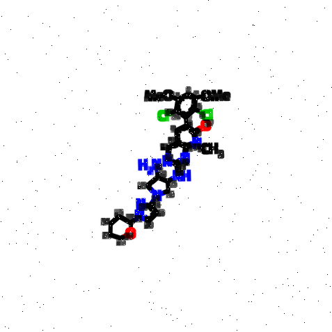 COc1cc(OC)c(Cl)c(-c2cc3cnc(NC4CN(c5ccn(C6CCCCO6)n5)CC4N)nc3n(C)c2=O)c1Cl